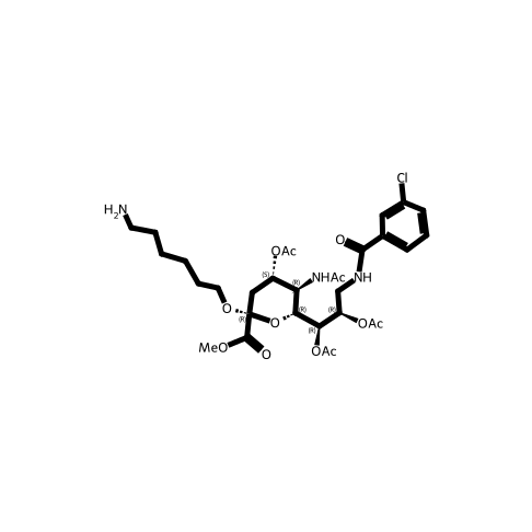 COC(=O)[C@@]1(OCCCCCCN)C[C@H](OC(C)=O)[C@@H](NC(C)=O)[C@H]([C@H](OC(C)=O)[C@@H](CNC(=O)c2cccc(Cl)c2)OC(C)=O)O1